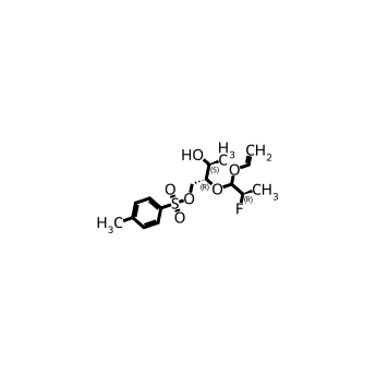 C=COC(O[C@H](COS(=O)(=O)c1ccc(C)cc1)[C@H](C)O)[C@@H](C)F